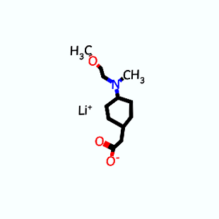 COCCN(C)C1CCC(CC(=O)[O-])CC1.[Li+]